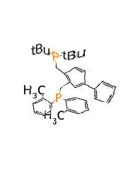 Cc1ccccc1P(Cc1cc(-c2ccccc2)ccc1CP(C(C)(C)C)C(C)(C)C)c1ccccc1C